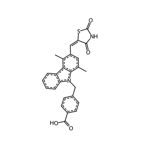 Cc1c(C=C2SC(=O)NC2=O)cc(C)c2c1c1ccccc1n2Cc1ccc(C(=O)O)cc1